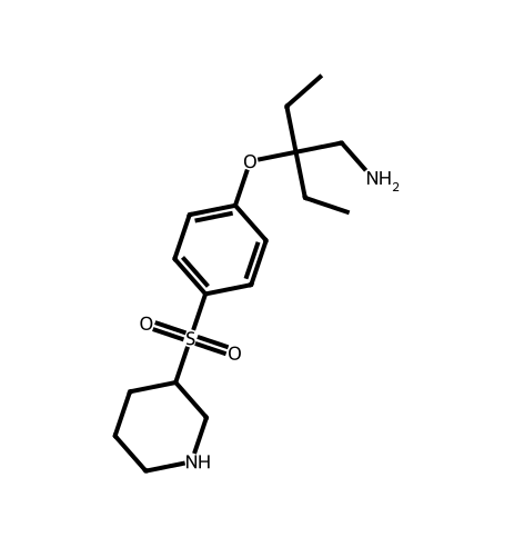 CCC(CC)(CN)Oc1ccc(S(=O)(=O)C2CCCNC2)cc1